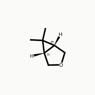 CC1(C)[C@@H]2COC[C@@H]21